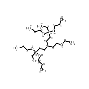 CCCO[PH](CC)(CCN(CCOCC)CC[PH](CC)(OCCC)OCCC)OCCC